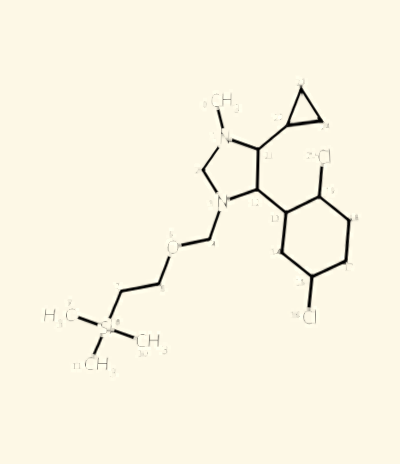 CN1CN(COCC[Si](C)(C)C)C(C2CC(Cl)CCC2Cl)C1C1CC1